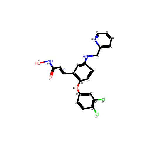 O=C(/C=C/c1cc(NCc2ccccn2)ccc1Oc1ccc(Cl)c(Cl)c1)NO